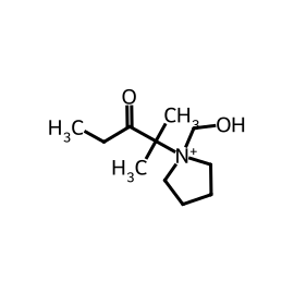 CCC(=O)C(C)(C)[N+]1(CO)CCCC1